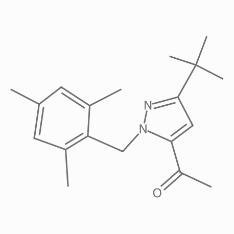 CC(=O)c1cc(C(C)(C)C)nn1Cc1c(C)cc(C)cc1C